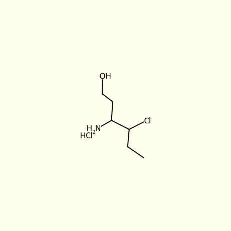 CCC(Cl)C(N)CCO.Cl